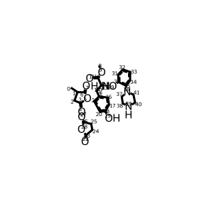 CC1CC(=O)OC1=O.COC(=O)[C@@H](N)Cc1ccc(O)cc1.O=C1CCC(=O)O1.Oc1ccccc1N1CCNCC1